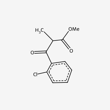 COC(=O)C(C)C(=O)c1ccccc1Cl